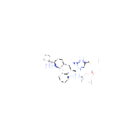 COC[C@H](C)Nc1c(-c2ccccc2)c(-c2ccc(C3(N)CCC3)cc2)nc2nc(C)cn12